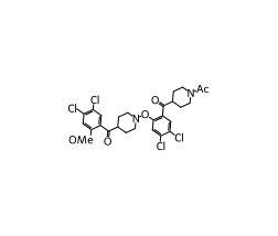 COc1cc(Cl)c(Cl)cc1C(=O)C1CCN(Oc2cc(Cl)c(Cl)cc2C(=O)C2CCN(C(C)=O)CC2)CC1